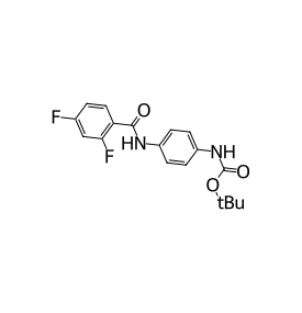 CC(C)(C)OC(=O)Nc1ccc(NC(=O)c2ccc(F)cc2F)cc1